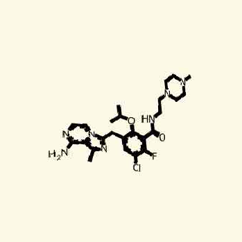 Cc1nc(Cc2cc(Cl)c(F)c(C(=O)NCCN3CCN(C)CC3)c2OC(C)C)n2ccnc(N)c12